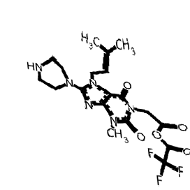 CC(C)=CCn1c(N2CCNCC2)nc2c1c(=O)n(CC(=O)OC(=O)C(F)(F)F)c(=O)n2C